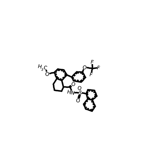 COc1ccc(-c2cccc(OC(F)(F)F)c2)c2c1CCCC2C(=O)NS(=O)(=O)c1cccc2ccccc12